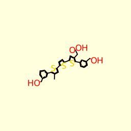 Cc1cc(-c2ccc(-c3cc(CC(=O)O)c(-c4cccc(CO)c4)s3)s2)sc1-c1cccc(CO)c1